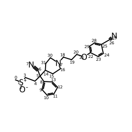 C[S+]([O-])CCC(C#N)(c1ccccc1)C1CCN(CCCOc2ccc(C#N)cc2)CC1